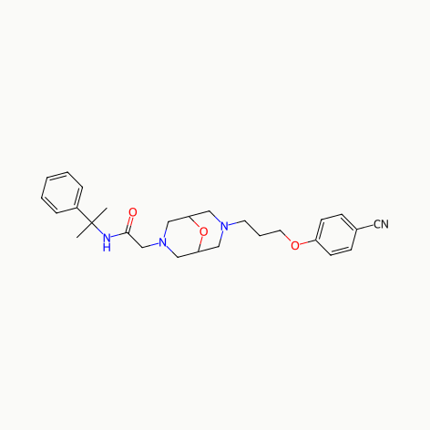 CC(C)(NC(=O)CN1CC2CN(CCCOc3ccc(C#N)cc3)CC(C1)O2)c1ccccc1